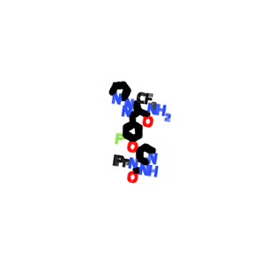 CC(C)n1c(=O)[nH]c2nccc(Oc3ccc(-c4nn(-c5ccccn5)c(C(F)(F)F)c4C(N)=O)cc3F)c21